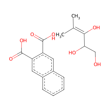 CC(C)=C(O)C(O)CO.O=C(O)c1cc2ccccc2cc1C(=O)O